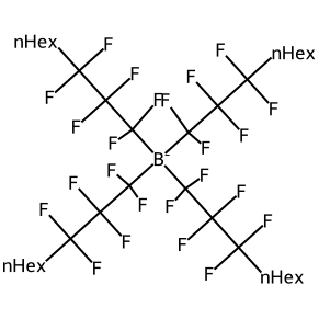 CCCCCCC(F)(F)C(F)(F)C(F)(F)[B-](C(F)(F)C(F)(F)C(F)(F)CCCCCC)(C(F)(F)C(F)(F)C(F)(F)CCCCCC)C(F)(F)C(F)(F)C(F)(F)CCCCCC